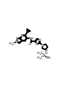 Cn1cc2cc(NC(=O)c3coc(N4CC[C@H](O[Si](C)(C)C(C)(C)C)C4)n3)c(C3CC3)nc2n1